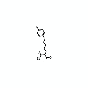 CCC(=O)C(CCCCOc1ccc(I)cc1)C(=O)CC